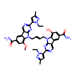 CCn1nc(C)cc1-c1ncc2c3cc(C(N)=O)cc(O)c3n(C/C=C/Cn3c4nc(-c5cc(C)nn5CC)ncc4c4cc(C(N)=O)cc(OC)c43)c2n1